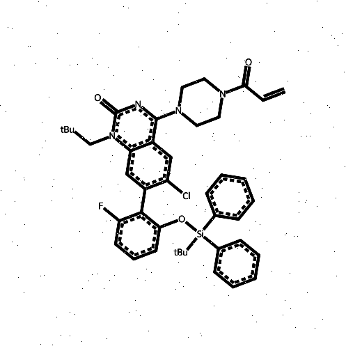 C=CC(=O)N1CCN(c2nc(=O)n(CC(C)(C)C)c3cc(-c4c(F)cccc4O[Si](c4ccccc4)(c4ccccc4)C(C)(C)C)c(Cl)cc23)CC1